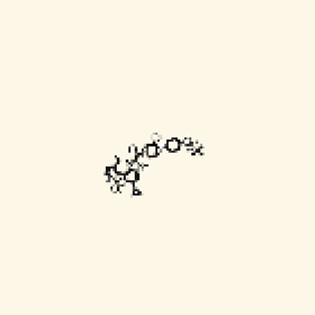 CCC1=C(c2cc(C3CC3)cc3c2nc(C(=O)N2CCN([C@H]4CC[C@H](O[Si](C)(C)C(C)(C)C)CC4)C(=O)C2)n3C)[N+](C)(C(=O)OC)C=C1